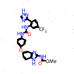 COC(=O)Nc1nc2cc(Oc3ccc(NC(=O)Nc4cc(C(F)(F)F)ccc4-c4nc[nH]n4)cc3)ccc2[nH]1